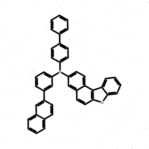 c1ccc(-c2ccc(N(c3cccc(-c4ccc5ccccc5c4)c3)c3ccc4c(ccc5oc6ccccc6c54)c3)cc2)cc1